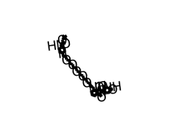 CC(C)(C)OC(=O)NC1CCN(CCOCCOCCOCCOCCOCCNc2cccc3c2C(=O)N(C2CCC(=O)NC2=O)C3=O)CC1